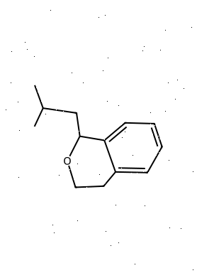 CC(C)CC1OCCc2ccccc21